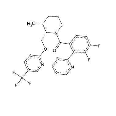 C[C@@H]1CCCN(C(=O)c2ccc(F)c(F)c2-c2ncccn2)[C@@H]1COc1ccc(C(F)(F)F)cn1